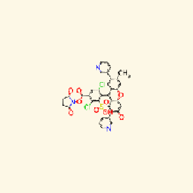 Cc1cc2oc3cc(=O)c(-c4cccnc4)cc-3c(-c3c(Cl)cc(C(=O)ON4C(=O)CCC4=O)c(Cl)c3S(=O)(=O)O)c2cc1-c1cccnc1